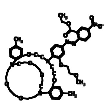 CCOC(=O)c1cc([N+](=O)[O-])ccc1/N=N/c1ccc(N2CCOc3cc(C)ccc3N3CCOCCOCCN(CCOCCOCC3)c3ccc(C)cc3OCC2)c(OCCOC)c1